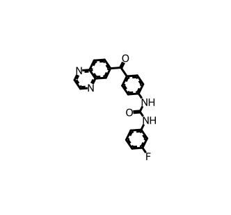 O=C(Nc1ccc(C(=O)c2ccc3nccnc3c2)cc1)Nc1cccc(F)c1